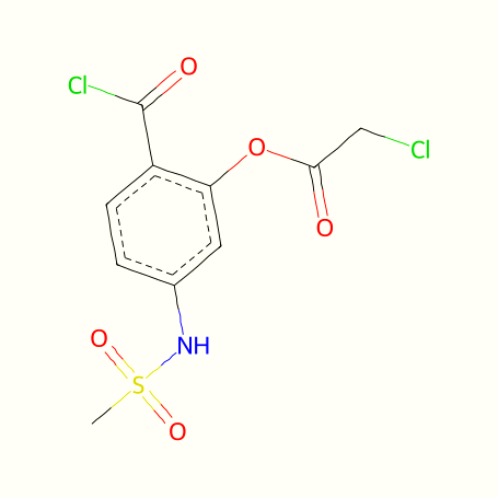 CS(=O)(=O)Nc1ccc(C(=O)Cl)c(OC(=O)CCl)c1